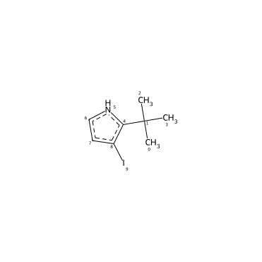 CC(C)(C)c1[nH]ccc1I